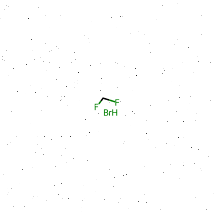 Br.FCF